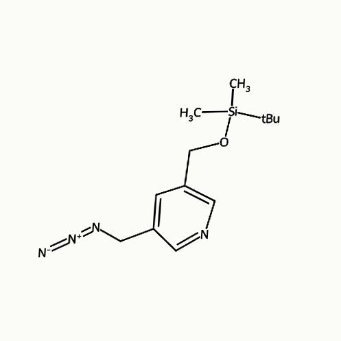 CC(C)(C)[Si](C)(C)OCc1cncc(CN=[N+]=[N-])c1